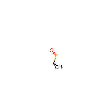 [CH]=CP=O